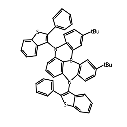 CC(C)(C)c1ccc2c(c1)B1c3cc(C(C)(C)C)ccc3N(c3c(-c4ccccc4)sc4ccccc34)c3cccc(c31)N2c1c(-c2ccccc2)sc2ccccc12